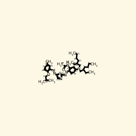 CCCCC(CC)CN(CC(CC)CCCC)c1ccc(/N=N/c2ncc(N=Nc3cc(C)ccc3OCC(C)C)s2)c(NC(C)=O)c1